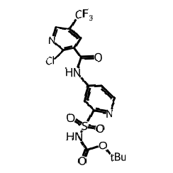 CC(C)(C)OC(=O)NS(=O)(=O)c1cc(NC(=O)c2cc(C(F)(F)F)cnc2Cl)ccn1